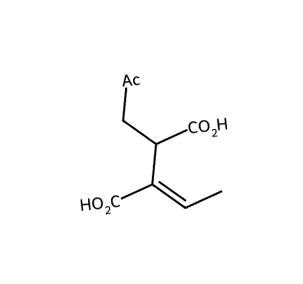 CC=C(C(=O)O)C(CC(C)=O)C(=O)O